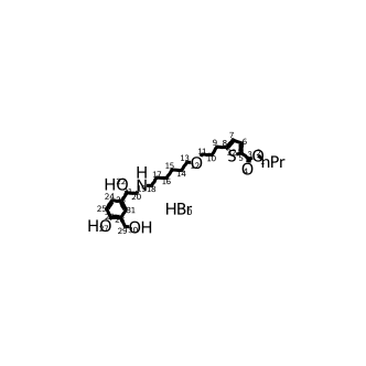 Br.CCCOC(=O)c1ccc(CCCOCCCCCCNCC(O)c2ccc(O)c(CO)c2)s1